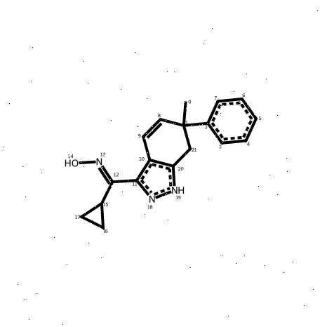 CC1(c2ccccc2)C=Cc2c(C(=NO)C3CC3)n[nH]c2C1